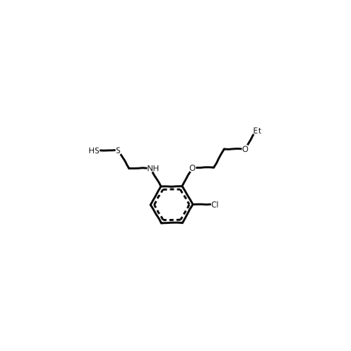 CCOCCOc1c(Cl)cccc1NCSS